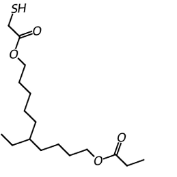 CCC(=O)OCCCCC(CC)CCCCCOC(=O)CS